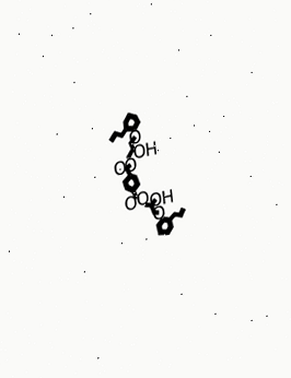 C=CCc1ccccc1OCC(O)COC(=O)c1ccc(C(=O)OCC(O)COc2ccccc2CC=C)cc1